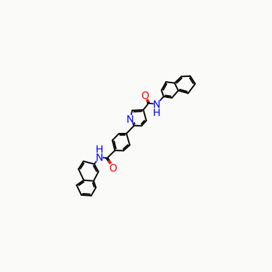 O=C(Nc1ccc2ccccc2c1)c1ccc(-c2ccc(C(=O)Nc3ccc4ccccc4c3)cn2)cc1